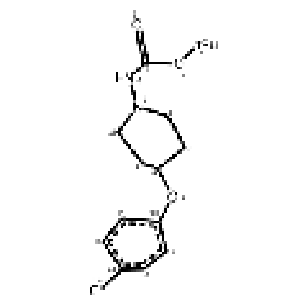 CC(C)(C)OC(=O)NN1CCC(Oc2ccc(Cl)cc2)CC1